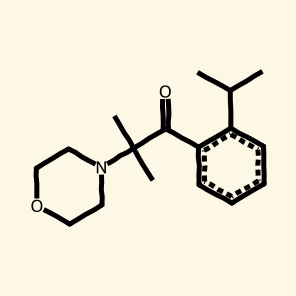 CC(C)c1ccccc1C(=O)C(C)(C)N1CCOCC1